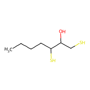 CCCCC(S)C(O)CS